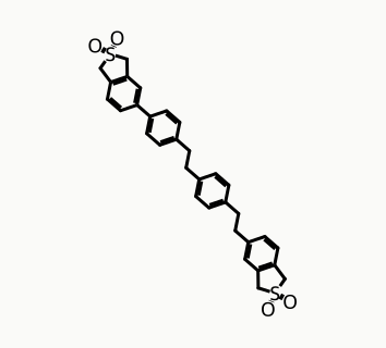 O=S1(=O)Cc2ccc(CCc3ccc(CCc4ccc(-c5ccc6c(c5)CS(=O)(=O)C6)cc4)cc3)cc2C1